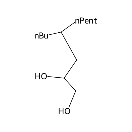 CCCCCC(CCCC)CC(O)CO